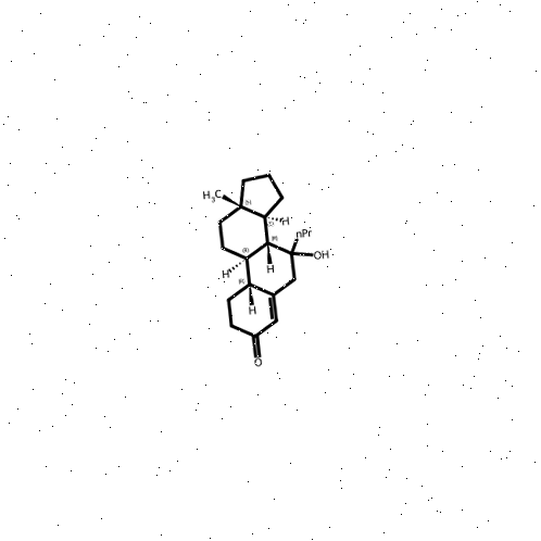 CCCC1(O)CC2=CC(=O)CC[C@@H]2[C@H]2CC[C@]3(C)CCC[C@H]3[C@@H]21